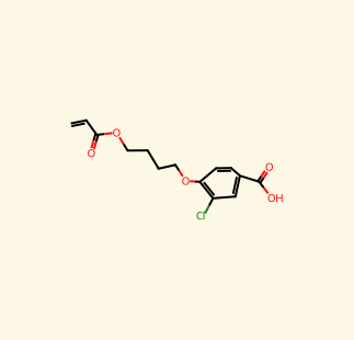 C=CC(=O)OCCCCOc1ccc(C(=O)O)cc1Cl